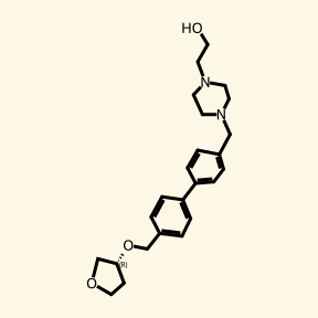 OCCN1CCN(Cc2ccc(-c3ccc(CO[C@@H]4CCOC4)cc3)cc2)CC1